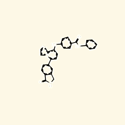 O=C(Nc1ccccc1)c1ccc(Nc2ccc(-c3ccc4c(c3)CNC4=O)n3ccnc23)cc1